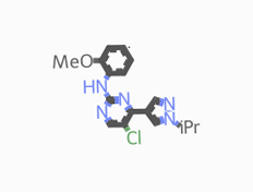 COc1c[c]ccc1Nc1ncc(Cl)c(-c2cnn(C(C)C)c2)n1